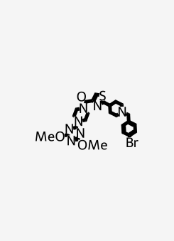 COc1nc(OC)nc(N2CCN(C(=O)c3csc(C4CCN(Cc5ccc(Br)cc5)CC4)n3)CC2)n1